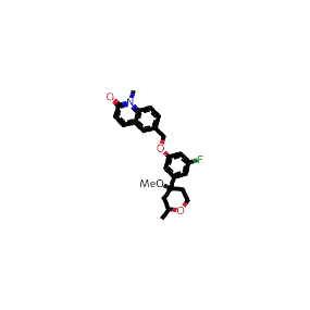 COC1(c2cc(F)cc(OCc3ccc4c(ccc(=O)n4C)c3)c2)CCOC(C)C1